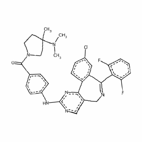 CN(C)C1(C)CCN(C(=O)c2ccc(Nc3ncc4c(n3)-c3ccc(Cl)cc3C(c3c(F)cccc3F)=NC4)cc2)C1